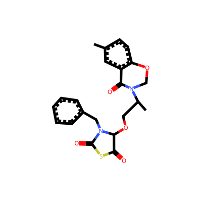 Cc1ccc2c(c1)C(=O)N(C(C)COC1C(=O)SC(=O)N1Cc1ccccc1)CO2